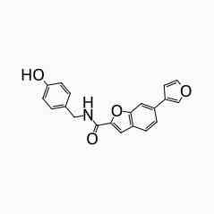 O=C(NCc1ccc(O)cc1)c1cc2ccc(-c3ccoc3)cc2o1